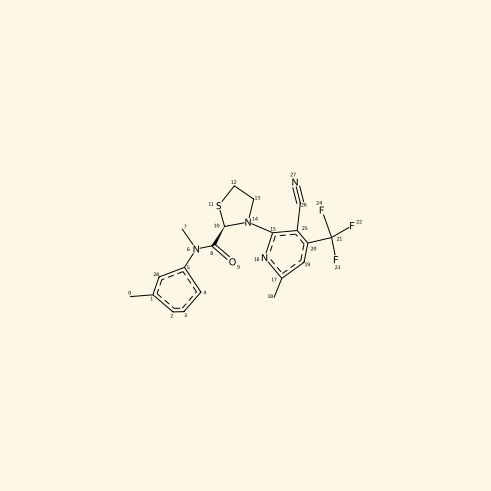 Cc1cccc(N(C)C(=O)[C@H]2SCCN2c2nc(C)cc(C(F)(F)F)c2C#N)c1